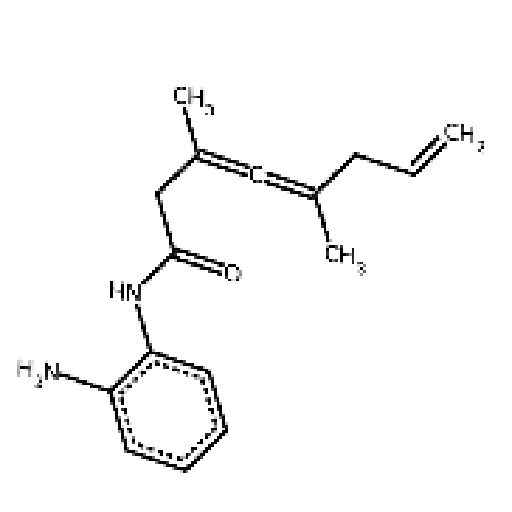 C=CCC(C)=C=C(C)CC(=O)Nc1ccccc1N